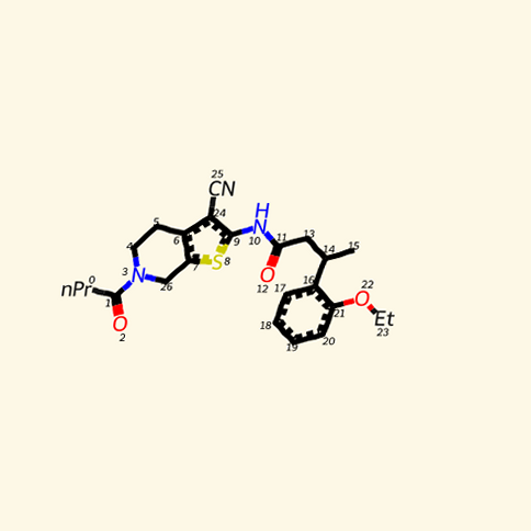 CCCC(=O)N1CCc2c(sc(NC(=O)CC(C)c3ccccc3OCC)c2C#N)C1